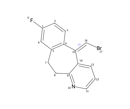 Fc1ccc2c(c1)CCc1ncccc1/C2=C\Br